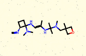 C=N[C@H]1CCC1(N/C=C(\C)NC(C)(C)N(C)CC1(C)COC1)N(C)C